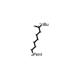 CCCCC(C)CCC[CH]CCC(C)CCC